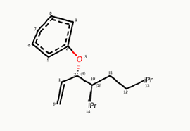 C=C[C@H](Oc1ccccc1)[C@@H](CCC(C)C)C(C)C